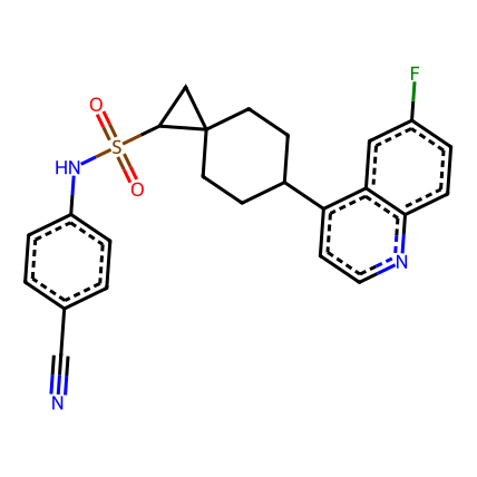 N#Cc1ccc(NS(=O)(=O)C2CC23CCC(c2ccnc4ccc(F)cc24)CC3)cc1